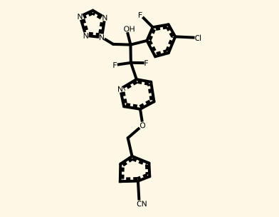 N#Cc1ccc(COc2ccc(C(F)(F)C(O)(Cn3ncnn3)c3ccc(Cl)cc3F)nc2)cc1